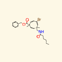 CCCCCC(=O)NCC1(C)/C=C\C(C)(C(=O)OCc2ccccc2)/C=C\C(Br)=C/1